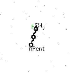 CCCCC[C@H]1CC[C@H](CCC2CC=C(CCc3ccc(C)c(F)c3)CC2)CC1